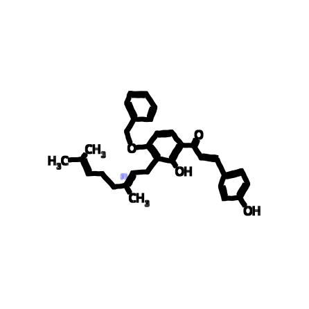 CC(C)=CCC/C(C)=C/Cc1c(OCc2ccccc2)ccc(C(=O)C=Cc2ccc(O)cc2)c1O